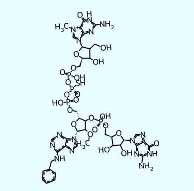 COC1C(OP(=O)(O)OC[C@H]2O[C@@H](n3cnc4c(=O)[nH]c(N)nc43)C(O)C2O)[C@@H](COP(=O)(O)OP(=O)(S)OP(=O)(O)OC[C@H]2O[C@@H](n3c[n+](C)c4c(=O)[nH]c(N)nc43)C(CO)C2O)O[C@H]1n1cnc2c(NCc3ccccc3)ncnc21